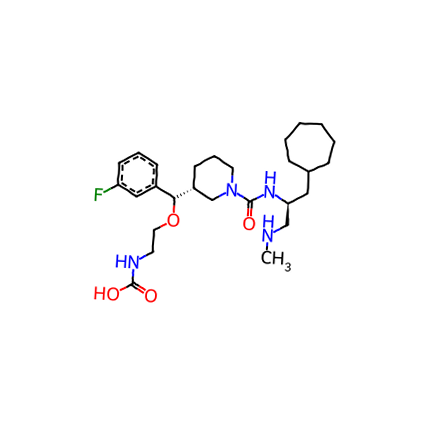 CNC[C@H](CC1CCCCCC1)NC(=O)N1CCC[C@@H](C(OCCNC(=O)O)c2cccc(F)c2)C1